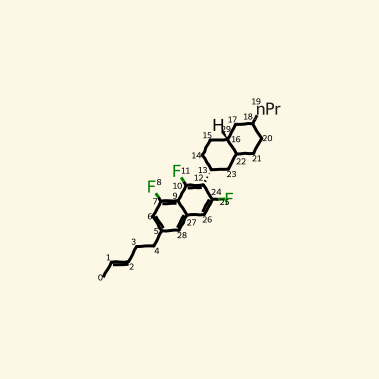 C/C=C/CCc1cc(F)c2c(F)c([C@@H]3CC[C@@H]4CC(CCC)CCC4C3)c(F)cc2c1